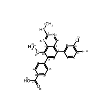 CNc1ncc2c(-c3ccc(F)c(Cl)c3)cc(-c3ccc(C(=O)O)cc3)c(OC)c2n1